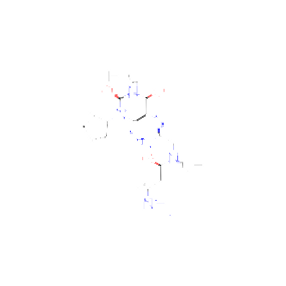 CN(Cc1nnc2c(n1)c(=O)n(C)c(=O)n2C1CCCC1)C(=O)CCN